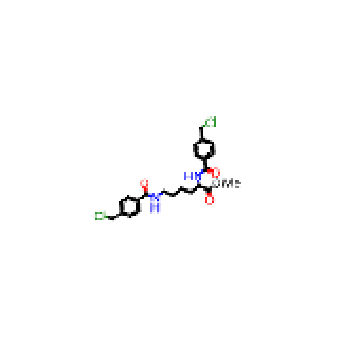 COC(=O)C(CCCCNC(=O)c1ccc(CCl)cc1)NC(=O)c1ccc(CCl)cc1